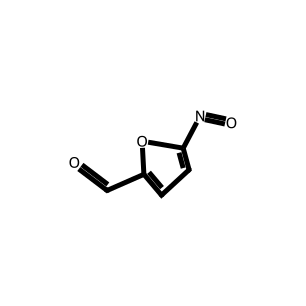 O=Cc1ccc(N=O)o1